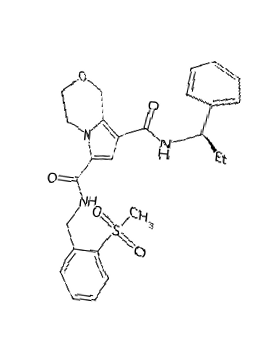 CC[C@@H](NC(=O)c1cc(C(=O)NCc2ccccc2S(C)(=O)=O)n2c1COCC2)c1ccccc1